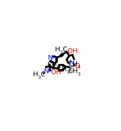 CC(=O)N1CCC(C(C)(O)C#Cc2cncc(C(O)(c3ccc(C(C)C)cc3)C3(C)CN(C)C3)c2)CC1